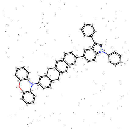 c1ccc(-c2cn(-c3ccccc3)c3ccc(-c4ccc5cc6c(cc5c4)Cc4ccc(N5c7ccccc7Oc7ccccc75)cc4C6)cc23)cc1